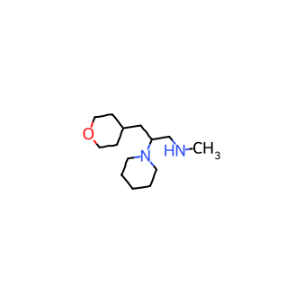 CNCC(CC1CCOCC1)N1CCCCC1